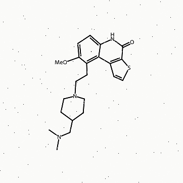 COc1ccc2[nH]c(=O)c3sccc3c2c1CCN1CCC(CN(C)C)CC1